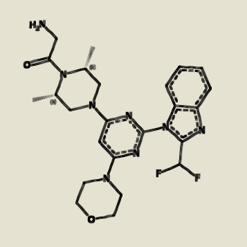 C[C@@H]1CN(c2cc(N3CCOCC3)nc(-n3c(C(F)F)nc4ccccc43)n2)C[C@H](C)N1C(=O)CN